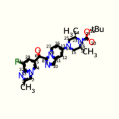 Cc1cn2cc(C(=O)c3ncc4cc(N5C[C@H](C)N(C(=O)OC(C)(C)C)[C@@H](C)C5)ccn34)cc(F)c2n1